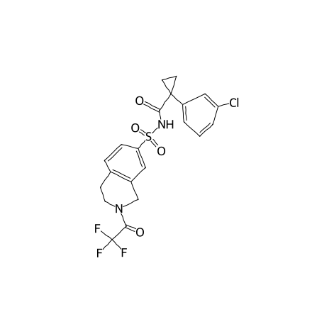 O=C(N1CCc2ccc(S(=O)(=O)NC(=O)C3(c4cccc(Cl)c4)CC3)cc2C1)C(F)(F)F